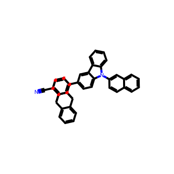 N#Cc1ccc(-c2ccc3c(c2)c2ccccc2n3-c2ccc3ccccc3c2)c2c1C1c3ccccc3C2c2ccccc21